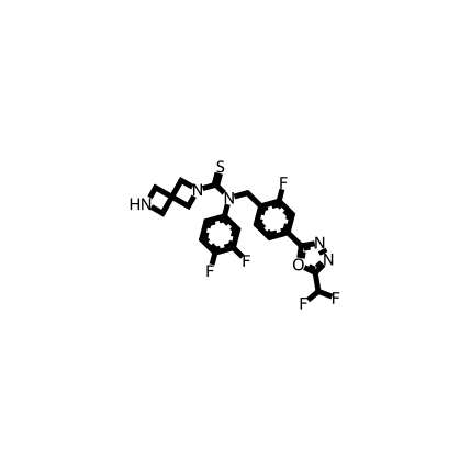 Fc1ccc(N(Cc2ccc(-c3nnc(C(F)F)o3)cc2F)C(=S)N2CC3(CNC3)C2)cc1F